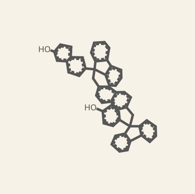 Oc1ccc(C2(Cc3ccc4cc(CC5(c6ccc7cc(O)ccc7c6)c6ccccc6-c6ccccc65)ccc4c3)c3ccccc3-c3ccccc32)cc1